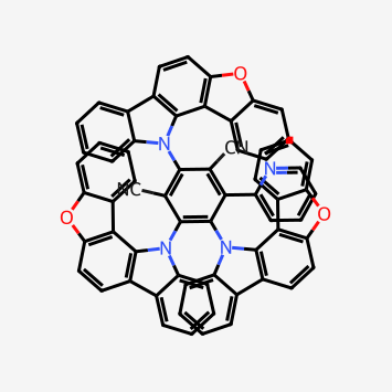 N#Cc1c(-c2ccccn2)c(-n2c3ccccc3c3ccc4oc5ccccc5c4c32)c(-n2c3ccccc3c3ccc4oc5ccccc5c4c32)c(C#N)c1-n1c2ccccc2c2ccc3oc4ccccc4c3c21